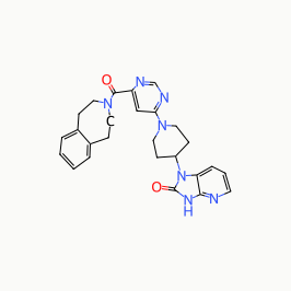 O=C(c1cc(N2CCC(n3c(=O)[nH]c4ncccc43)CC2)ncn1)N1CCc2ccccc2CC1